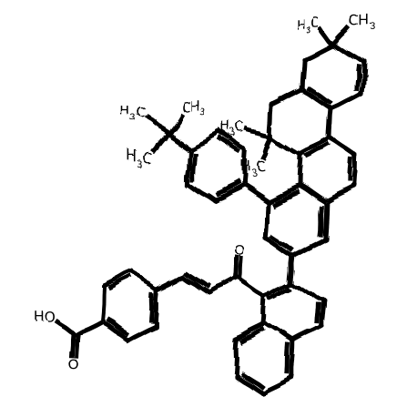 CC1(C)C=CC2=C(C1)CC(C)(C)c1c2ccc2cc(-c3ccc4ccccc4c3C(=O)/C=C/c3ccc(C(=O)O)cc3)cc(-c3ccc(C(C)(C)C)cc3)c12